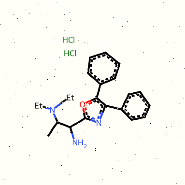 CCN(CC)C(C)C(N)c1nc(-c2ccccc2)c(-c2ccccc2)o1.Cl.Cl